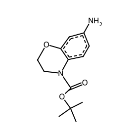 CC(C)(C)OC(=O)N1CCOc2cc(N)ccc21